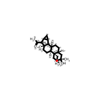 COC[C@]12CC[C@@](C)(O)C[C@H]1CC[C@@H]1[C@@H]2CC[C@]2(C)C(C(C)=O)C3CC3[C@@H]12